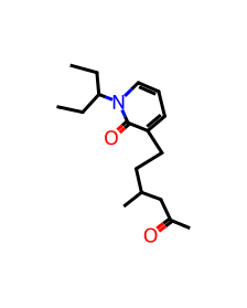 CCC(CC)n1cccc(CCC(C)CC(C)=O)c1=O